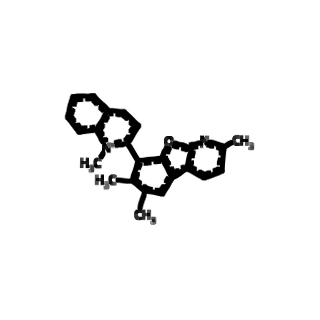 Cc1ccc2c(n1)oc1c(-c3ccc4ccccc4[n+]3C)c(C)c(C)cc12